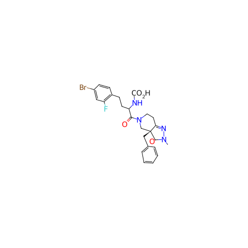 CN1N=C2CCN(C(=O)C(CCc3ccc(Br)cc3F)NC(=O)O)C[C@@]2(Cc2ccccc2)C1=O